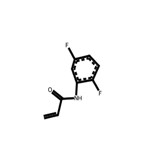 C=CC(=O)Nc1cc(F)ccc1F